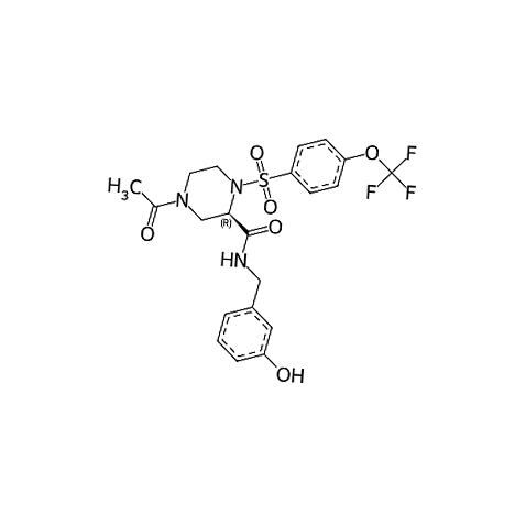 CC(=O)N1CCN(S(=O)(=O)c2ccc(OC(F)(F)F)cc2)[C@@H](C(=O)NCc2cccc(O)c2)C1